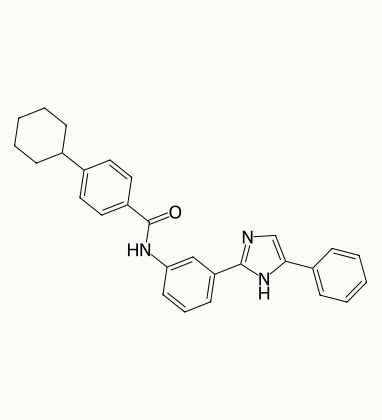 O=C(Nc1cccc(-c2ncc(-c3ccccc3)[nH]2)c1)c1ccc(C2CCCCC2)cc1